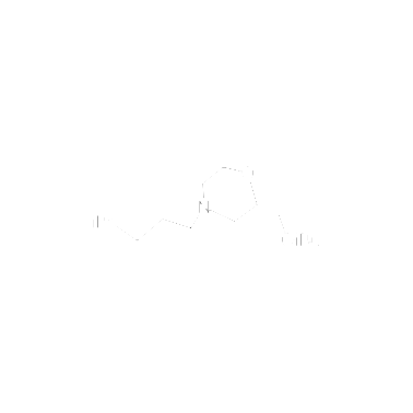 CC(C)CCCN1CCO[C@H](COCC(C)C)C1